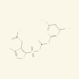 COC(=O)Cc1c(Cl)n[nH]c1S(=O)(=O)NC(=O)Nc1nc(OC)cc(OC)n1